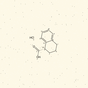 Cl.O=C(O)[C@H]1CCCc2ccccc21